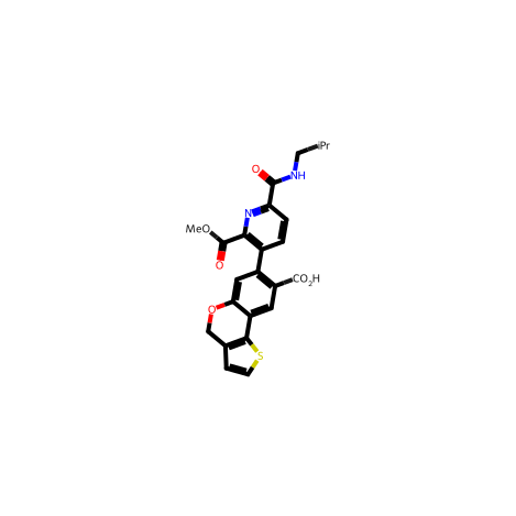 COC(=O)c1nc(C(=O)NCC(C)C)ccc1-c1cc2c(cc1C(=O)O)-c1sccc1CO2